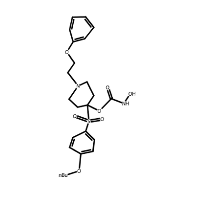 CCCCOc1ccc(S(=O)(=O)C2(OC(=O)NO)CCN(CCOc3ccccc3)CC2)cc1